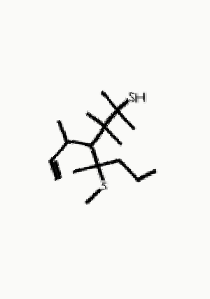 C=CC(C)C(C(C)(CCC)SC)C(C)(C)C(C)(C)S